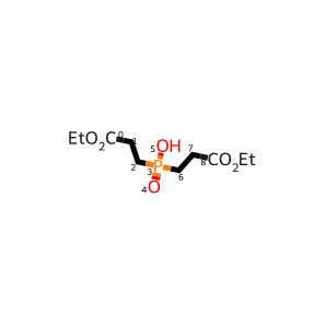 CCOC(=O)CCP(=O)(O)CCC(=O)OCC